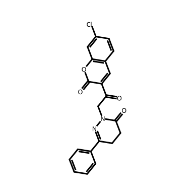 O=C(CN1N=C(c2ccccc2)CCC1=O)c1cc2ccc(Cl)cc2oc1=O